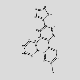 Fc1ccc(-c2cnc(-c3cccs3)nc2-c2ccncc2)cc1